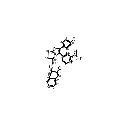 CCNc1nccc(-c2c(-c3ccc(F)cc3)nc3n2C(COc2nc4ccccc4cc2Cl)CC3)n1